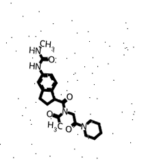 CNC(=O)Nc1ccc2c(c1)CCC2C(=O)N(CC(=O)N1CCCCC1)C(C)=O